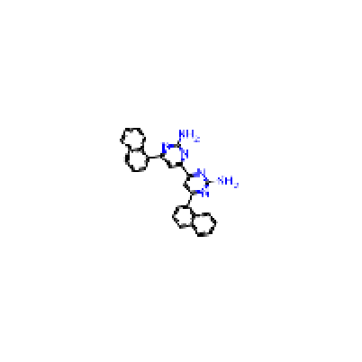 Nc1nc(-c2cc(-c3cccc4ccccc34)nc(N)n2)cc(-c2cccc3ccccc23)n1